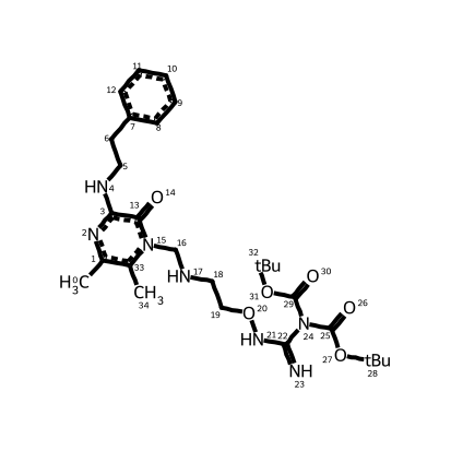 Cc1nc(NCCc2ccccc2)c(=O)n(CNCCONC(=N)N(C(=O)OC(C)(C)C)C(=O)OC(C)(C)C)c1C